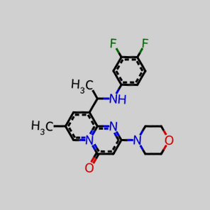 Cc1cc(C(C)Nc2ccc(F)c(F)c2)c2nc(N3CCOCC3)cc(=O)n2c1